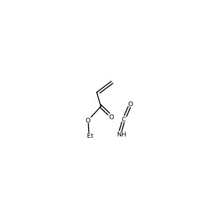 C=CC(=O)OCC.N=C=O